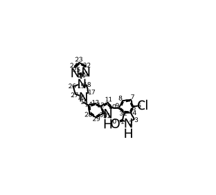 O=C1NCc2c(Cl)ccc(-c3cc4cc(CN5CCN(c6ncccn6)CC5)ccc4[nH]3)c21